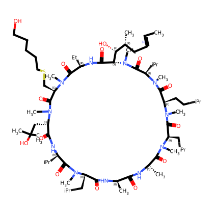 C/C=C/C[C@@H](C)[C@@H](O)[C@H]1C(=O)N[C@H](CC)C(=O)N(C)[C@H](CSCCCCCO)C(=O)N(C)[C@@H](CC(C)(C)O)C(=O)N[C@H](C(C)C)C(=O)N(C)[C@H](CC(C)C)C(=O)N[C@H](C)C(=O)N[C@@H](C)C(=O)N(C)[C@H](CC(C)C)C(=O)N(C)[C@H](CCC(C)C)C(=O)N(C)[C@H](C(C)C)C(=O)N1C